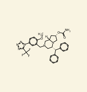 COc1ccc(-n2nnnc2C(F)(F)F)cc1CN1C[C@@H]2C[C@H](OC(N)=O)CN2[C@H](C(c2ccccc2)c2ccccc2)C1